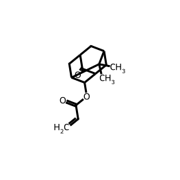 C=CC(=O)OC1C2CC3CC(CC1C3(C)C)C2=O